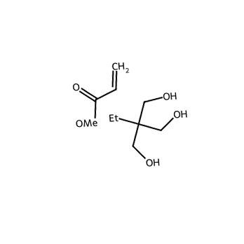 C=CC(=O)OC.CCC(CO)(CO)CO